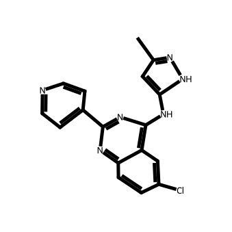 Cc1cc(Nc2nc(-c3ccncc3)nc3ccc(Cl)cc23)[nH]n1